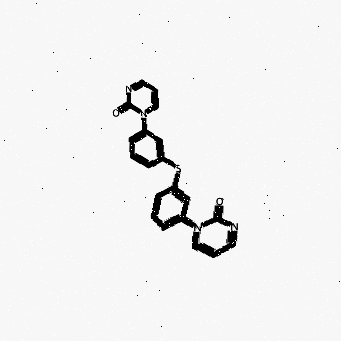 O=c1ncccn1-c1cccc(Sc2cccc(-n3cccnc3=O)c2)c1